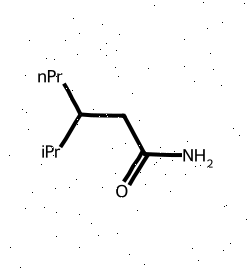 CCCC(CC(N)=O)C(C)C